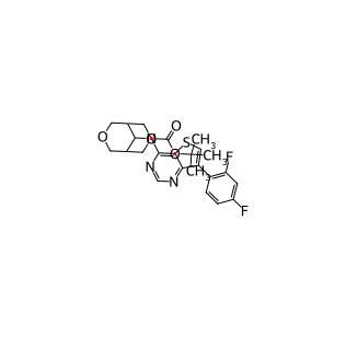 CC(C)(C)OC(=O)N1CC2COCC(C1)C2Oc1ncnc2c(-c3ccc(F)cc3F)csc12